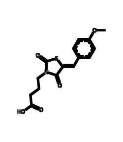 COc1ccc(/C=C2\SC(=O)N(CCCC(=O)O)C2=O)cc1